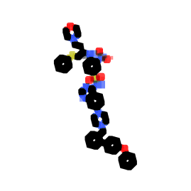 O=[N+]([O-])c1cc(S(=O)(=O)Nc2ncnc3cc(N4CCN(Cc5ccccc5-c5ccc(Oc6ccccc6)cc5)CC4)ccc23)ccc1N[C@H](CCN1CCOCC1)CSc1ccccc1